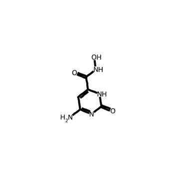 Nc1cc(C(=O)NO)[nH]c(=O)n1